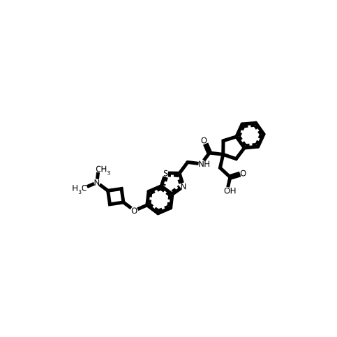 CN(C)C1CC(Oc2ccc3nc(CNC(=O)C4(CC(=O)O)Cc5ccccc5C4)sc3c2)C1